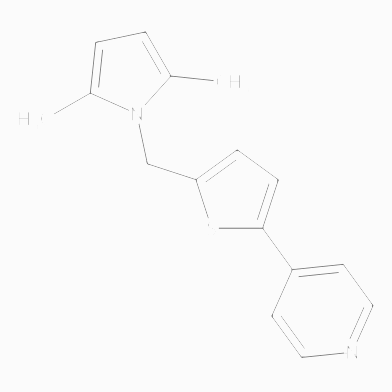 Cc1ccc(C)n1Cc1ccc(-c2ccncc2)s1